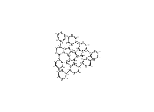 c1ccc(-c2ccc(-c3ccccc3)c3c2nc2n3c3nc4c(-c5ccccc5)ccc(-c5ccccc5)c4n3c3nc4c(-c5ccccc5)ccc(-c5ccccc5)c4n23)cc1